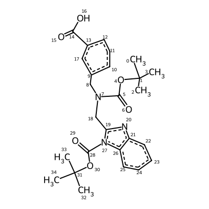 CC(C)(C)OC(=O)N(Cc1cccc(C(=O)O)c1)Cc1nc2ccccc2n1C(=O)OC(C)(C)C